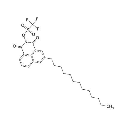 CCCCCCCCCCCCCc1cc2c3c(cccc3c1)C(=O)N(OS(=O)(=O)C(F)(F)F)C2=O